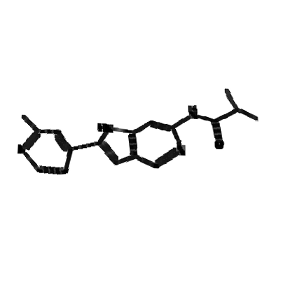 Cc1cc(-c2cc3cnc(NC(=O)C(C)C)cc3[nH]2)ccn1